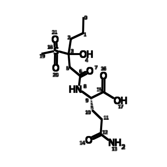 CCCC(O)(CC(=O)N[C@@H](CCC(N)=O)C(=O)O)S(C)(=O)=O